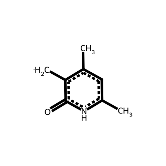 [CH2]c1c(C)cc(C)[nH]c1=O